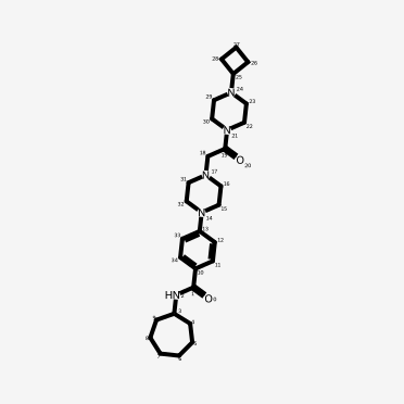 O=C(NC1CCCCCC1)c1ccc(N2CCN(CC(=O)N3CCN(C4CCC4)CC3)CC2)cc1